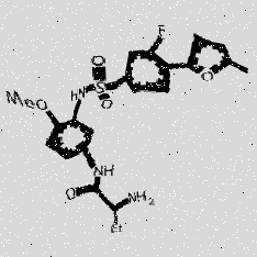 CC[C@H](N)C(=O)Nc1ccc(OC)c(NS(=O)(=O)c2ccc(-c3ccc(C)o3)c(F)c2)c1